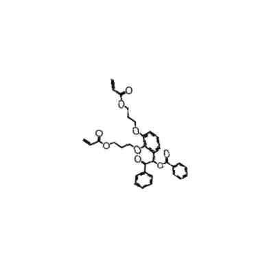 C=CC(=O)OCCCOc1cccc(C(OC(=O)c2ccccc2)C(=O)c2ccccc2)c1OCCCOC(=O)C=C